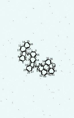 c1cc(-n2c3ccccc3c3ccc4ccccc4c32)c2cc3c4ccccc4n(-c4nc(-c5cccc6oc7ccccc7c56)c5ccccc5n4)c3cc2c1